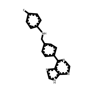 Fc1ccc(NCc2ccc(-c3ncnc4[nH]cnc34)cc2)cc1